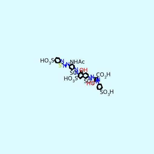 CC(=O)Nc1cc(N=Nc2c(S(=O)(=O)O)cc3c(S(=O)(=O)O)c(N=Nc4c(C(=O)O)nn(-c5ccc(S(=O)(=O)O)cc5)c4O)ccc3c2O)c(S(=O)(=O)O)cc1N=Nc1nc2ccc(S(=O)(=O)O)cc2s1